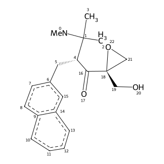 CNC(C)(C)[C@@H](Cc1ccc2ccccc2c1)C(=O)[C@@]1(CO)CO1